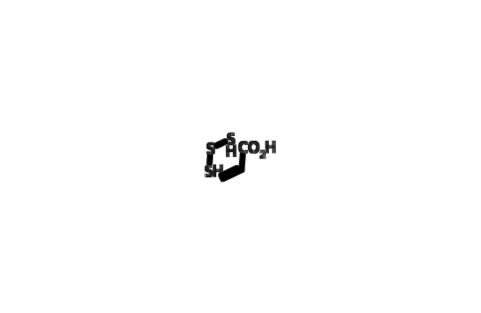 C=CC(=O)O.SSS